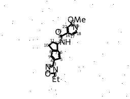 CCc1nc(-c2ccc3c(c2)CC[C@H]3NC(=O)c2ccnc(OC)c2)no1